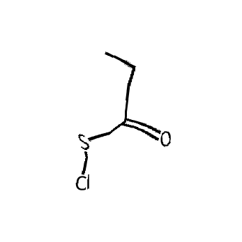 CCC(=O)SCl